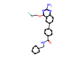 Nc1nc(OCCF)c2cc(-c3ccc(C(=O)NCc4ccccc4)cc3)ccc2n1